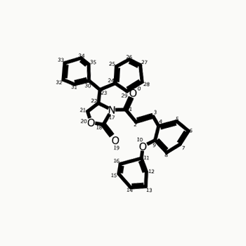 O=C(C=Cc1ccccc1Oc1ccccc1)N1C(=O)OCC1C(c1ccccc1)c1ccccc1